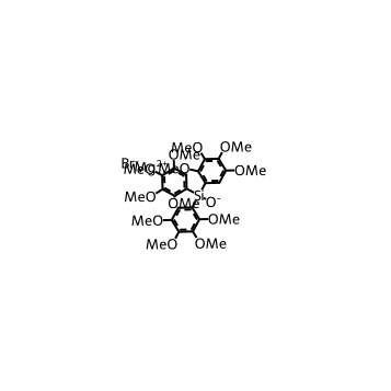 COc1cc([Si]([O-])(c2cc(OC)c(OC)c(OC)c2OC)c2cc(OC)c(OC)c(OC)c2OC)c(OC)c(OC)c1OC.[Br-].[Mg+2]